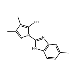 Cc1ccc2[nH]c(-n3nc(C)c(C)c3O)nc2c1